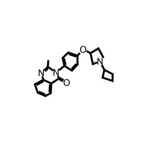 Cc1nc2ccccc2c(=O)n1-c1ccc(OC2CCN(C3CCC3)C2)cc1